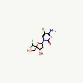 Nc1nc(=O)n([C@H]2C[C@H](O)[C@](CO)(C(F)F)O2)cc1F